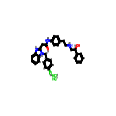 Cl.Cl.O=C(Cc1nc2ccccc2n1Cc1ccc(Cl)cc1)Nc1ccc(CCNCC(O)c2ccccc2)cc1